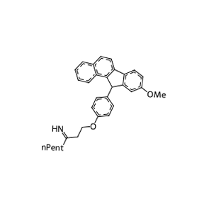 CCCCCC(=N)CCOc1ccc(C2c3cc(OC)ccc3-c3ccc4ccccc4c32)cc1